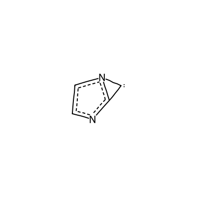 [C]1c2nccn21